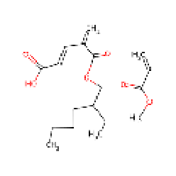 C=C(C=CC(=O)O)C(=O)OCC(CC)CCCC.C=CC(=O)OC